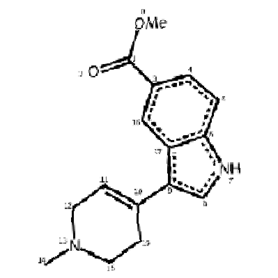 COC(=O)c1ccc2[nH]cc(C3=CCN(C)CC3)c2c1